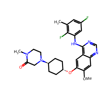 COc1cc2ncnc(Nc3cc(F)cc(C)c3F)c2cc1O[C@H]1CC[C@H](N2CCN(C)C(=O)C2)CC1